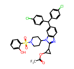 O=C(OC1CC1c1nc2ccc(C(c3ccc(Cl)cc3)c3ccc(Cl)cc3)cc2n1C1CCN(S(=O)(=O)c2ccccc2O)CC1)C(F)(F)F